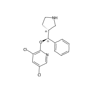 Clc1cnc(O[C@H](c2ccccc2)[C@@H]2CCNC2)c(Cl)c1